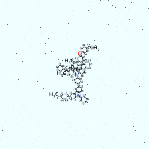 C=CC1=CCC(C2=CC=C3C(C2)C2=C(CCC(C4CC=C(N(C5C=CC(C(C)(C)C6C=CCCC6)=CC5)C5C=CC6C7CCC=CC7C(C7C=CC(OC8CC=C(C=C)CC8)CC7)(C7CC(C)C=CC7C)C6C5)CC4)=C2)N3C2=CCCC=C2)C=C1